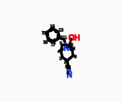 N#CC1CC2CC(O)C(C1)N2Cc1ccccc1